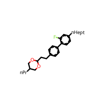 CCCCCCCc1ccc(-c2ccc(CCC3OCC(CCC)CO3)cc2)c(F)c1